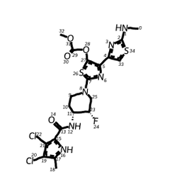 CNc1nc(-c2nc(N3CC[C@@H](NC(=O)c4[nH]c(C)c(Cl)c4Cl)[C@@H](F)C3)sc2OC(=O)OC)cs1